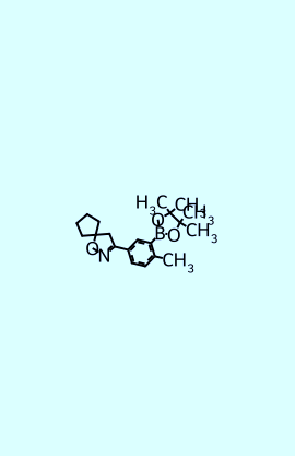 Cc1ccc(C2=NOC3(CCCC3)C2)cc1B1OC(C)(C)C(C)(C)O1